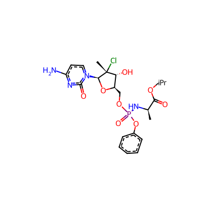 CC(C)OC(=O)[C@@H](C)N[P@@](=O)(OC[C@H]1O[C@@H](n2ccc(N)nc2=O)[C@](C)(Cl)[C@@H]1O)Oc1ccccc1